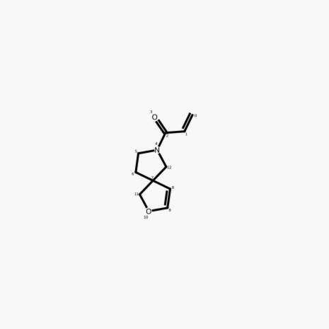 C=CC(=O)N1CCC2(C=COC2)C1